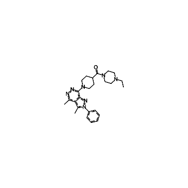 CCN1CCN(C(=O)C2CCN(c3nnc(C)c4c(C)n(-c5ccccc5)nc34)CC2)CC1